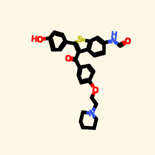 O=CNc1ccc2c(C(=O)c3ccc(OCCN4CCCCC4)cc3)c(-c3ccc(O)cc3)sc2c1